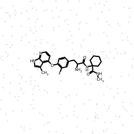 CNC(=O)C1(NC(=O)C(N)Cc2ccc(Oc3ccnc4[nH]cc(C)c34)c(F)c2)CCCCC1